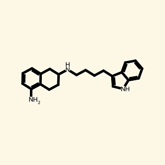 Nc1cccc2c1CCC(NCCCCc1c[nH]c3ccccc13)C2